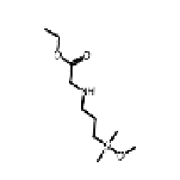 CCOC(=O)CNCCC[Si](C)(C)OC